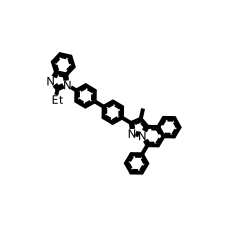 CCc1nc2ccccc2n1-c1ccc(-c2ccc(-c3nn4c(-c5ccccc5)cc5ccccc5c4c3C)cc2)cc1